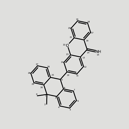 CC1(C)c2ccccc2C(c2ccc3c(=N)c4ccccc4oc3c2)c2ccccc21